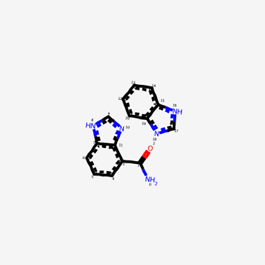 NC(=O)c1cccc2[nH]cnc12.c1ccc2[nH]cnc2c1